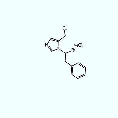 Cl.ClCc1cncn1C(Br)Cc1ccccc1